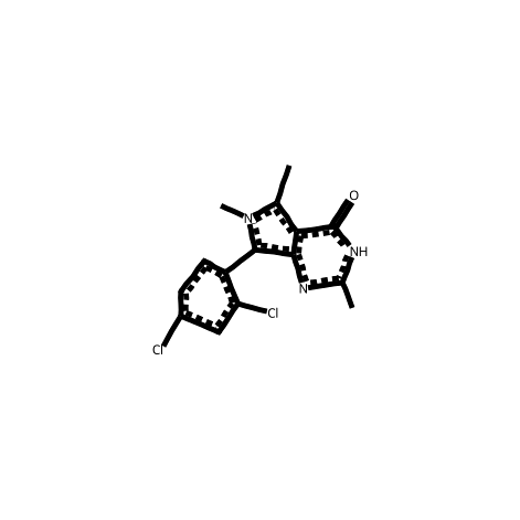 Cc1nc2c(-c3ccc(Cl)cc3Cl)n(C)c(C)c2c(=O)[nH]1